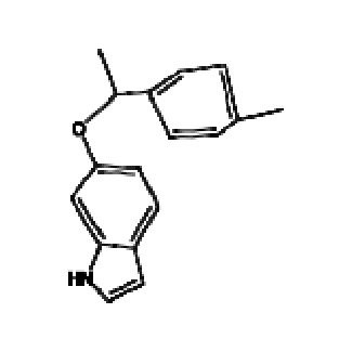 Cc1ccc(C(C)Oc2ccc3cc[nH]c3c2)cc1